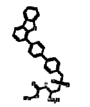 CC(C)(C)OC(=O)NC(CS(=O)(=O)Cc1ccc(-c2ccc(-c3cccc4c3oc3ccccc34)cc2)cc1)C(=O)O